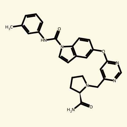 Cc1cccc(NC(=O)n2ccc3cc(Oc4cc(CN5CCC[C@@H]5C(N)=O)ncn4)ccc32)c1